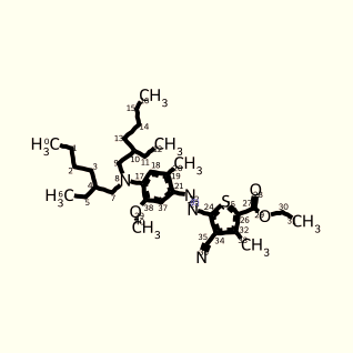 CCCCC(CC)CN(CC(CC)CCCC)c1cc(C)c(/N=N/c2sc(C(=O)OCC)c(C)c2C#N)cc1OC